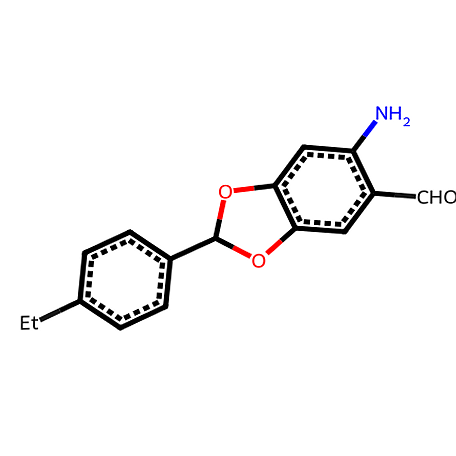 CCc1ccc(C2Oc3cc(N)c(C=O)cc3O2)cc1